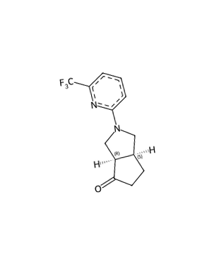 O=C1CC[C@@H]2CN(c3cccc(C(F)(F)F)n3)C[C@H]12